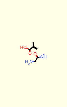 C=C(C)C(=O)O.CNC(=O)CN